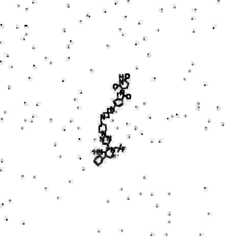 C[C@@H]1Cc2c([nH]c3ccccc23)[C@@H](c2cnc(N3CCC(CN4CC5(C4)CN(c4ccc6c(c4)CN(C4CCC(=O)NC4=O)C6=O)C5)CC3)nc2)N1CC(C)(C)F